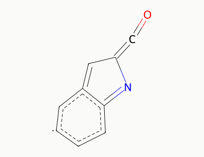 O=C=C1C=c2c[c]ccc2=N1